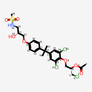 CC(=O)O[C@H](CCl)COc1c(Cl)cc(C(C)(C)c2ccc(OC[C@H](O)CNS(C)(=O)=O)cc2)cc1Cl